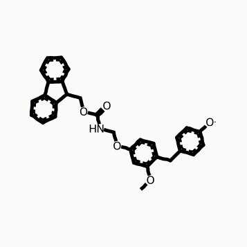 COc1cc(OCNC(=O)OCC2c3ccccc3-c3ccccc32)ccc1Cc1ccc([O])cc1